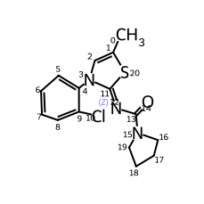 Cc1cn(-c2ccccc2Cl)/c(=N/C(=O)N2CCCC2)s1